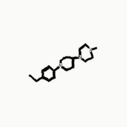 CCc1ccc(N2CCC(N3CCN(C)CC3)CC2)cc1